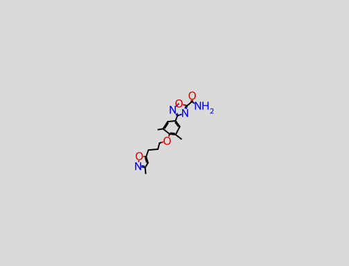 Cc1cc(CCCOc2c(C)cc(-c3noc(C(N)=O)n3)cc2C)on1